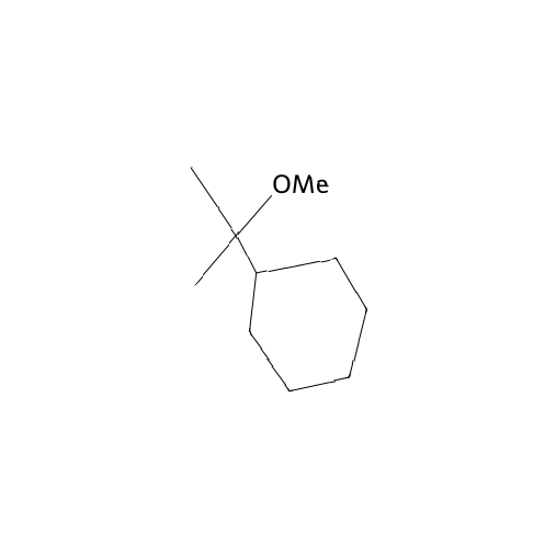 [CH]OC(C)(C)C1CCCCC1